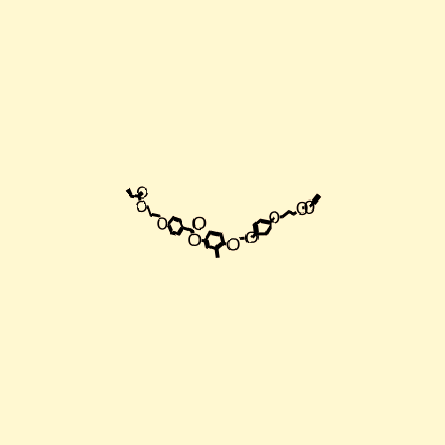 C#COOCCCOc1ccc(OCOc2ccc(OC(=O)c3ccc(OCCCOC(=O)C=C)cc3)cc2C)cc1